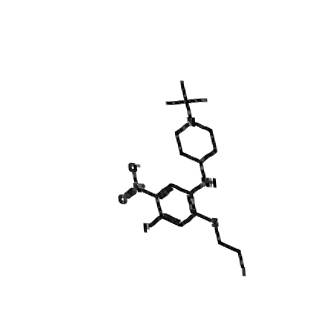 CC(C)(C)N1CCC(Nc2cc([N+](=O)[O-])c(F)cc2SCCI)CC1